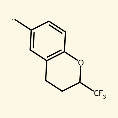 [CH2]c1ccc2c(c1)CCC(C(F)(F)F)O2